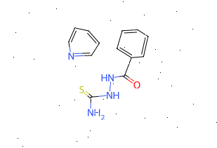 NC(=S)NNC(=O)c1ccccc1.c1ccncc1